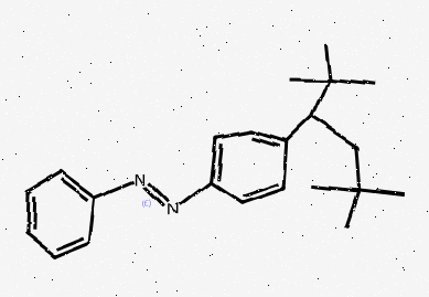 CC(C)(C)CC(c1ccc(/N=N/c2ccccc2)cc1)C(C)(C)C